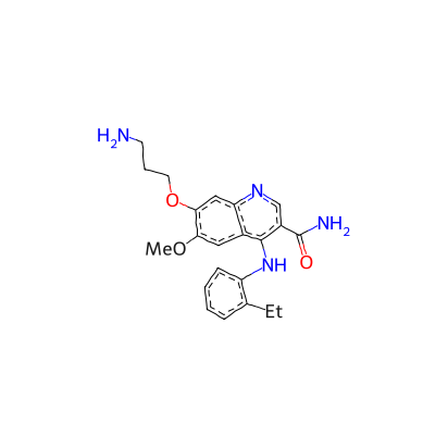 CCc1ccccc1Nc1c(C(N)=O)cnc2cc(OCCCN)c(OC)cc12